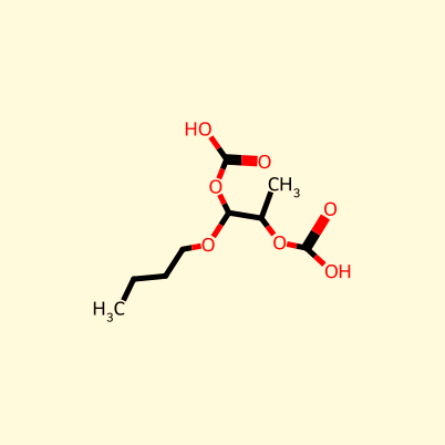 CCCCOC(OC(=O)O)C(C)OC(=O)O